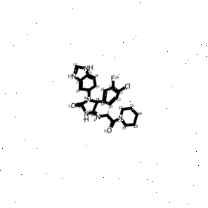 O=C(C/N=C1/NC(=O)N(C2C=c3nc[nH]c3=CC2)C1c1ccc(Cl)c(F)c1)N1CCCCC1